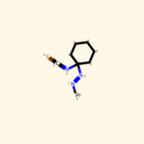 CC(C)N=NC1(N=C=S)CCCCC1